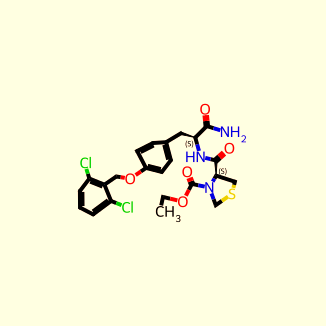 CCOC(=O)N1CSC[C@@H]1C(=O)N[C@@H](Cc1ccc(OCc2c(Cl)cccc2Cl)cc1)C(N)=O